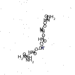 CN[C@@H](Cc1ccc(OCc2cn(CCOCCNC(=O)c3cccc(/C(C)=N\OCc4cccc(C(=O)NCCCC[C@H](NCN)C(N)=O)c4)c3)nn2)cc1)C(N)=O